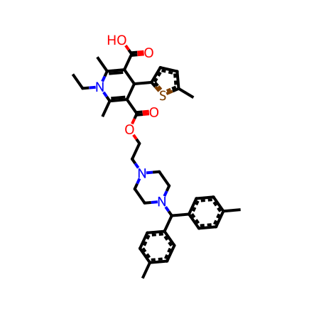 CCN1C(C)=C(C(=O)O)C(c2ccc(C)s2)C(C(=O)OCCN2CCN(C(c3ccc(C)cc3)c3ccc(C)cc3)CC2)=C1C